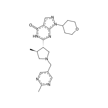 Cc1ncc(CN2C[C@@H](C)[C@H](c3nc4c(cnn4C4CCOCC4)c(=O)[nH]3)C2)cn1